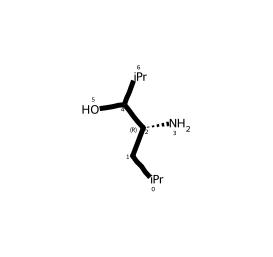 CC(C)C[C@@H](N)C(O)C(C)C